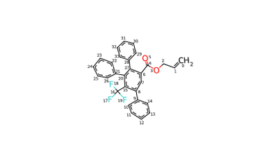 C=CCOC(=O)c1cc(-c2ccccc2)c(C(F)(F)F)c(-c2ccccc2)c1-c1ccccc1